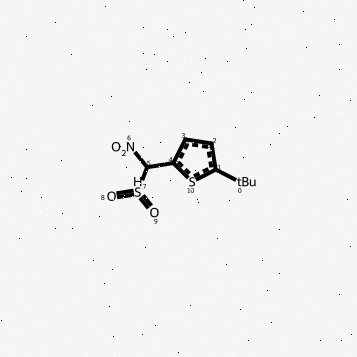 CC(C)(C)c1ccc(C([N+](=O)[O-])[SH](=O)=O)s1